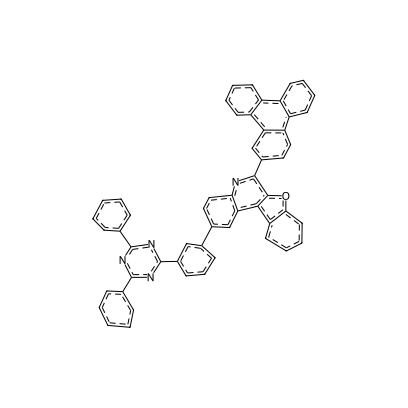 c1ccc(-c2nc(-c3ccccc3)nc(-c3cccc(-c4ccc5nc(-c6ccc7c8ccccc8c8ccccc8c7c6)c6oc7ccccc7c6c5c4)c3)n2)cc1